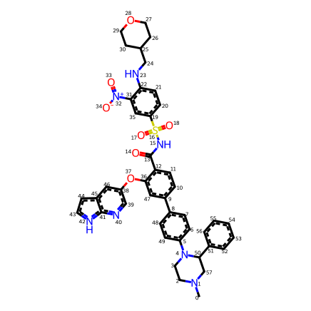 CN1CCN(c2ccc(-c3ccc(C(=O)NS(=O)(=O)c4ccc(NCC5CCOCC5)c([N+](=O)[O-])c4)c(Oc4cnc5[nH]ccc5c4)c3)cc2)C(c2ccccc2)C1